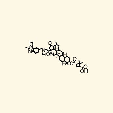 Cc1nc2ccc(CNC[C@H](O)[C@@]34CC[C@]5(C)[C@H](CC[C@@H]6[C@@]7(C)CC[C@H](OC(=O)[C@H]8C[C@@H](C(=O)O)C8(C)C)C(C)(C)[C@@H]7CC[C@]65C)C3=C(C(C)C)C(=O)C4)cc2[nH]1